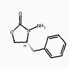 NN1C(=O)OC[C@H]1Cc1ccccc1